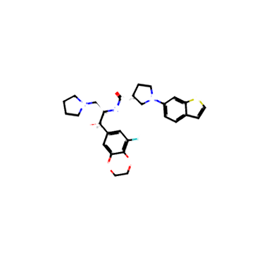 O=C(N[C@H](CN1CCCC1)[C@H](O)c1cc(F)c2c(c1)OCCO2)[C@@H]1CCN(c2ccc3ccsc3c2)C1